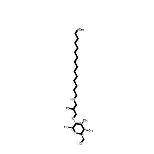 CCCCCCCCCCCCCCCCCCCCCCCCNCC(O)CO[C@@H]1[C@@H](O)[C@@H](O)[C@@H](CO)O[C@H]1O